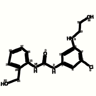 O=C(Nc1cc(Cl)cc(NCCO)c1)Nc1ccccc1CO